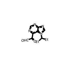 CCC(CC)n1cnc2ncnc(C(=O)C=O)c21